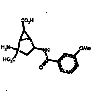 COc1cccc(C(=O)NC2CC(N)(C(=O)O)C3C(C(=O)O)C23)c1